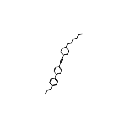 CCCCCCC1CC=C(C#Cc2ccc(-c3ccc(CCC)cc3)cc2)CC1